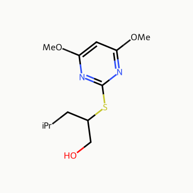 COc1cc(OC)nc(SC(CO)CC(C)C)n1